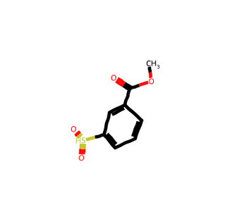 COC(=O)c1cccc([SH](=O)=O)c1